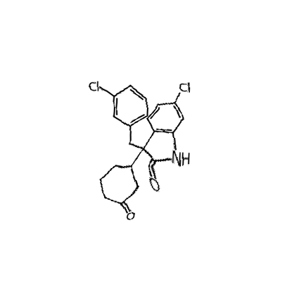 O=C1CCCC(C2(Cc3cccc(Cl)c3)C(=O)Nc3cc(Cl)ccc32)C1